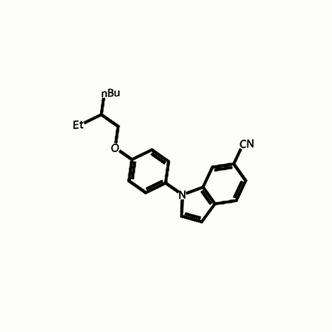 CCCCC(CC)COc1ccc(-n2ccc3ccc(C#N)cc32)cc1